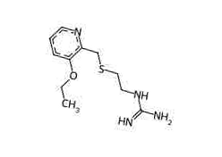 CCOc1cccnc1CSCCNC(=N)N